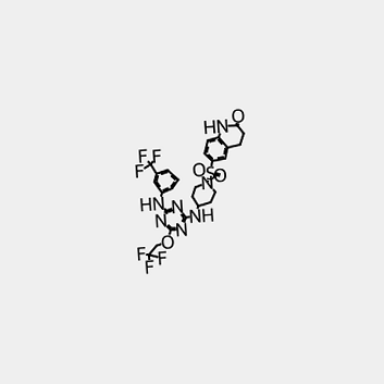 O=C1CCc2cc(S(=O)(=O)N3CCC(Nc4nc(Nc5cccc(C(F)(F)F)c5)nc(OCC(F)(F)F)n4)CC3)ccc2N1